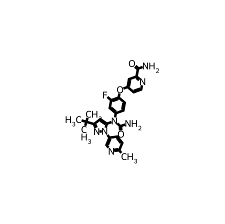 Cc1ccc(-n2nc(C(C)(C)C)cc2N(C(N)=O)c2ccc(Oc3ccnc(C(N)=O)c3)c(F)c2)cn1